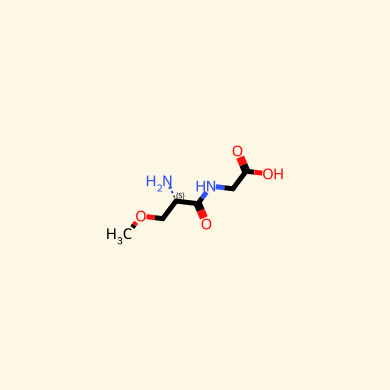 COC[C@H](N)C(=O)NCC(=O)O